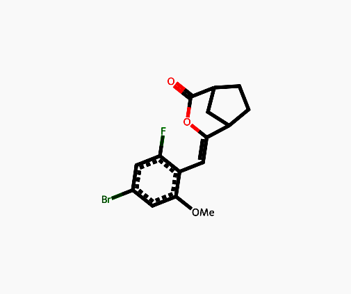 COc1cc(Br)cc(F)c1C=C1OC(=O)C2CCC1C2